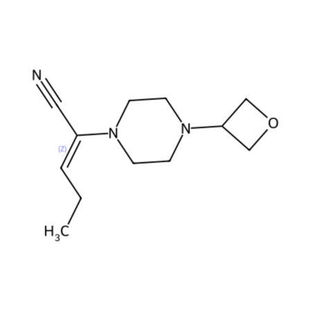 CC/C=C(/C#N)N1CCN(C2COC2)CC1